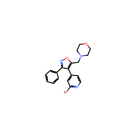 Brc1cc(-c2c(-c3ccccc3)noc2CN2CCOCC2)ccn1